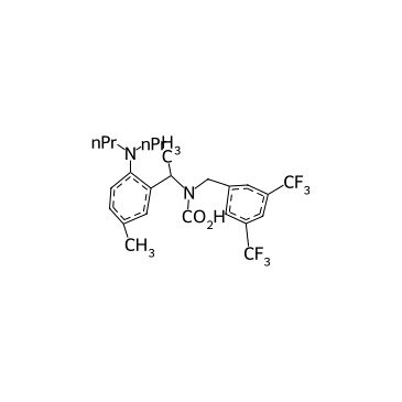 CCCN(CCC)c1ccc(C)cc1C(C)N(Cc1cc(C(F)(F)F)cc(C(F)(F)F)c1)C(=O)O